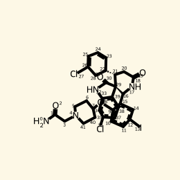 NC(=O)CN1CCC(Oc2ccc(I)cc2C2NC(=O)C[C@@H](C3C=CC=C(Cl)C3)[C@]23C(=O)Nc2cc(Cl)ccc23)CC1